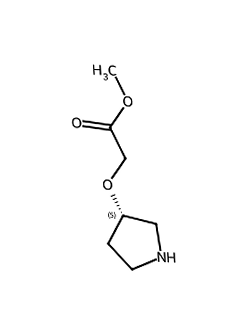 COC(=O)CO[C@H]1CCNC1